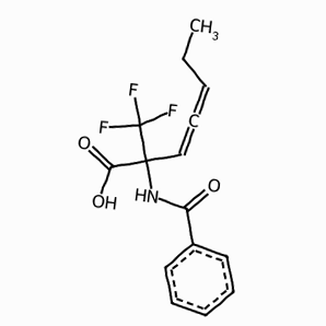 CCC=C=CC(NC(=O)c1ccccc1)(C(=O)O)C(F)(F)F